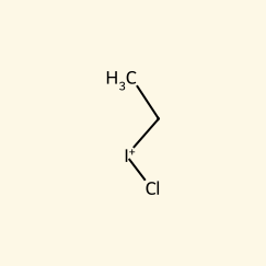 CC[I+]Cl